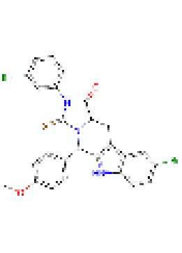 COc1ccc(C2c3[nH]c4ccc(Br)cc4c3CC3C(=O)N(c4cccc(Br)c4)C(=S)N32)cc1